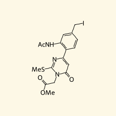 COC(=O)Cn1c(SC)nc(-c2ccc(CI)cc2NC(C)=O)cc1=O